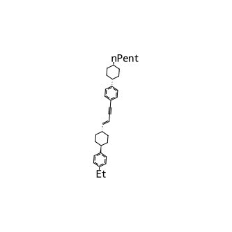 CCCCC[C@H]1CC[C@H](c2ccc(C#C/C=C/[C@H]3CC[C@H](c4ccc(CC)cc4)CC3)cc2)CC1